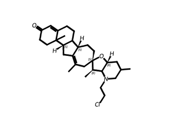 CC1=C2C[C@H]3C(CCC4=CC(=O)CCC43C)[C@@H]2CC[C@@]2(C1)O[C@@H]1CC(C)CN(CCCl)C1[C@H]2C